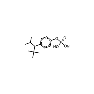 CC(C)C(c1ccc(OP(=O)(O)O)cc1)C(C)(C)C